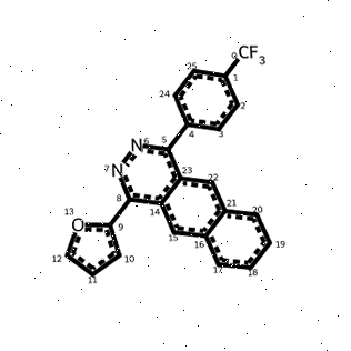 FC(F)(F)c1ccc(-c2nnc(-c3ccco3)c3cc4ccccc4cc23)cc1